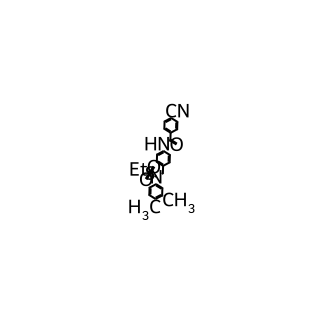 CCS(=O)(=O)N(Cc1ccc(NC(=O)c2ccc(C#N)cc2)cc1)c1ccc(C)c(C)c1